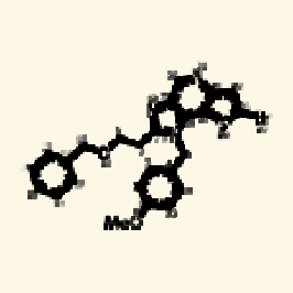 COc1ccc(Cn2c(CCOCc3ccccc3)nc3cnc4cc(Br)sc4c32)cc1